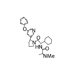 CN[C@@H](C)C(=O)N[C@H](C(=O)N1CCC[C@H]1c1cncc(Oc2ccccc2)c1)C1CCCCC1